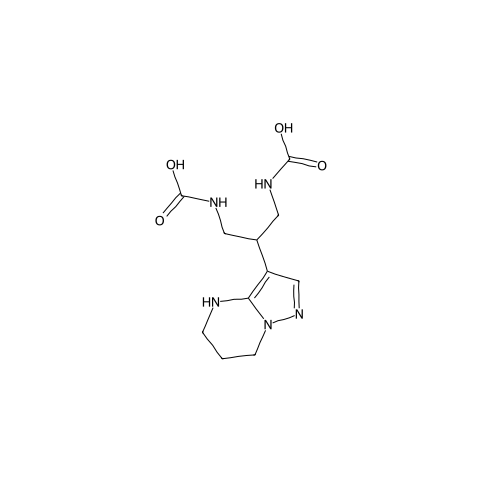 O=C(O)NCC(CNC(=O)O)c1cnn2c1NCCC2